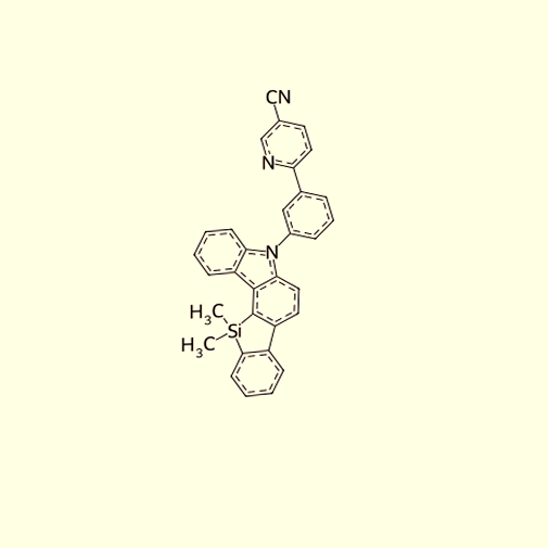 C[Si]1(C)c2ccccc2-c2ccc3c(c21)c1ccccc1n3-c1cccc(-c2ccc(C#N)cn2)c1